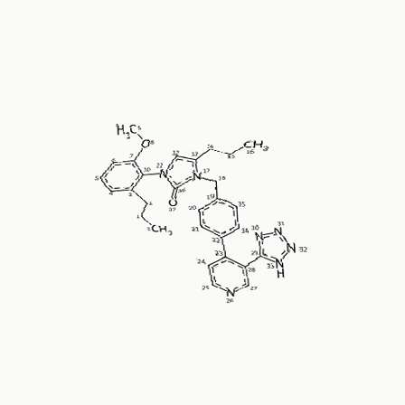 CCCc1cccc(OC)c1-n1cc(CCC)n(Cc2ccc(-c3ccncc3-c3nnn[nH]3)cc2)c1=O